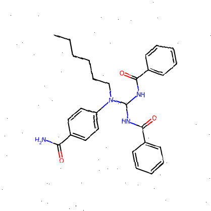 CCCCCCN([C](NC(=O)c1ccccc1)NC(=O)c1ccccc1)c1ccc(C(N)=O)cc1